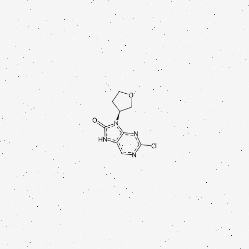 O=c1[nH]c2cnc(Cl)nc2n1[C@H]1CCOC1